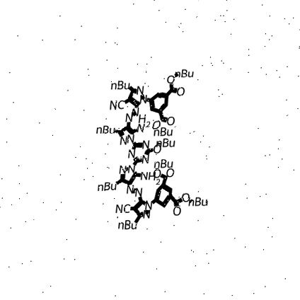 CCCCOC(=O)c1cc(C(=O)OCCCC)cc(-n2nc(CCCC)c(C#N)c2N=Nc2c(CCCC)nn(-c3nc(OCCCC)nc(-n4nc(CCCC)c(N=Nc5c(C#N)c(CCCC)nn5-c5cc(C(=O)OCCCC)cc(C(=O)OCCCC)c5)c4N)n3)c2N)c1